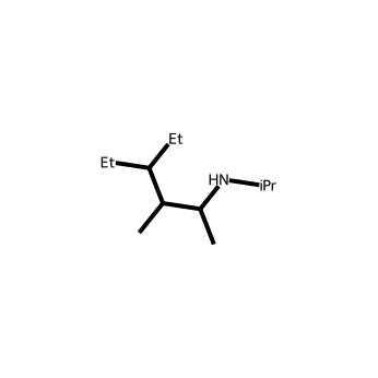 CCC(CC)C(C)C(C)NC(C)C